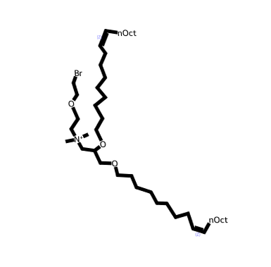 CCCCCCCC/C=C\CCCCCCCCOCC(C[N+](C)(C)CCOCCBr)OCCCCCCCC/C=C\CCCCCCCC